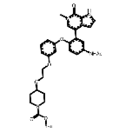 CC(=O)Nc1ccc(Oc2cccc(OCCOC3CCN(C(=O)OC(C)(C)C)CC3)c2)c(-c2cn(C)c(=O)c3[nH]ccc23)c1